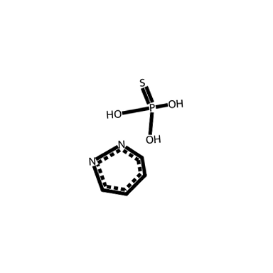 OP(O)(O)=S.c1ccnnc1